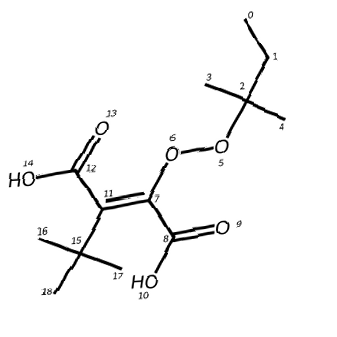 CCC(C)(C)OOC(C(=O)O)=C(C(=O)O)C(C)(C)C